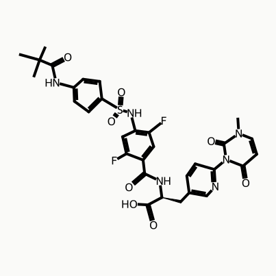 Cn1ccc(=O)n(-c2ccc(C[C@H](NC(=O)c3cc(F)c(NS(=O)(=O)c4ccc(NC(=O)C(C)(C)C)cc4)cc3F)C(=O)O)cn2)c1=O